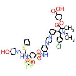 CCn1c(C)c(C(=O)OC2CCC(C(=O)O)CC2)c(-c2cccc(N3CCN(c4ccc(NS(=O)(=O)c5ccc(N[C@H](CCN6CCC(O)CC6)CSc6ccccc6)c(S(=O)(=O)C(F)(F)F)c5)cc4)CC3)c2)c1-c1ccc(Cl)cc1